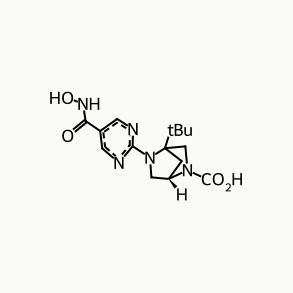 CC(C)(C)C12C[C@@H](CN1c1ncc(C(=O)NO)cn1)N(C(=O)O)C2